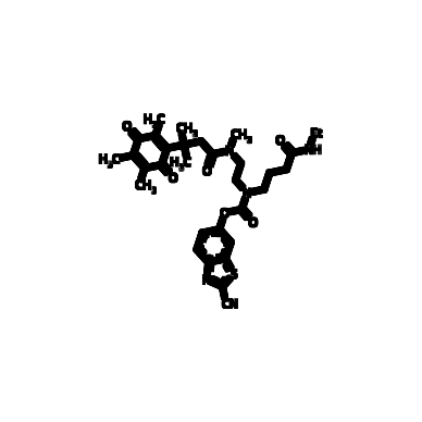 CCNC(=O)CCCN(CCN(C)C(=O)CC(C)(C)C1=C(C)C(=O)C(C)=C(C)C1=O)C(=O)Oc1ccc2nc(C#N)sc2c1